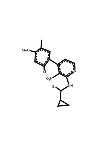 CCC(Nc1nccc(-c2cc(F)c(OC)cc2Cl)c1[N+](=O)[O-])C1CC1